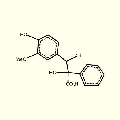 [2H]C(c1ccc(O)c(OC)c1)[C@@](O)(C(=O)O)c1ccccc1